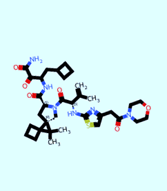 C=C(C)[C@H](Nc1nc(CC(=O)N2CCOCC2)cs1)C(=O)N1C[C@]2(C[C@H]1C(=O)NC(CC1CCC1)C(=O)C(N)=O)C(C)(C)C21CCC1